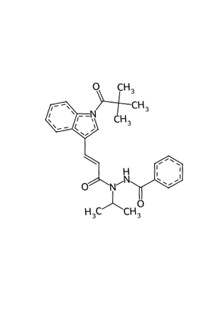 CC(C)N(NC(=O)c1ccccc1)C(=O)/C=C/c1cn(C(=O)C(C)(C)C)c2ccccc12